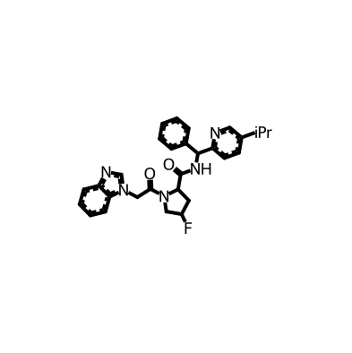 CC(C)c1ccc(C(NC(=O)C2CC(F)CN2C(=O)Cn2cnc3ccccc32)c2ccccc2)nc1